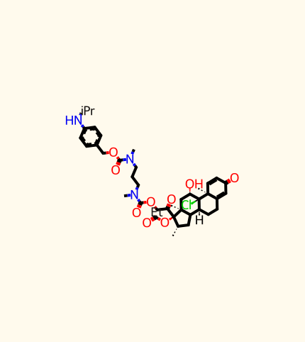 CCC(=O)O[C@]1(C(=O)COC(=O)N(C)CCCN(C)C(=O)OCc2ccc(NC(C)C)cc2)[C@@H](C)CC2[C@@H]3CCC4=CC(=O)C=C[C@]4(C)[C@@]3(Cl)[C@@H](O)C[C@@]21C